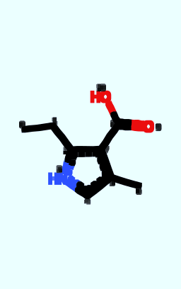 CCc1[nH]cc(C)c1C(=O)O